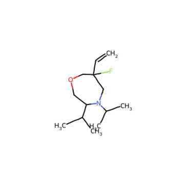 C=CC1(F)COCC(C(C)C)N(C(C)C)C1